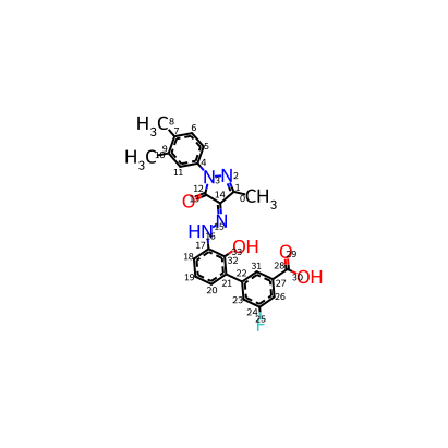 CC1=NN(c2ccc(C)c(C)c2)C(=O)C1=NNc1cccc(-c2cc(F)cc(C(=O)O)c2)c1O